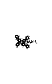 C/C=C\C=C(/C)n1c2ccccc2c2cc(-c3cc4c5ccccc5oc4c4c5ccccc5n(-c5ccc(-c6ccccc6)cc5)c34)ccc21